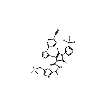 Cc1c(-c2ccnn2-c2ccc(C#N)cc2)n(C(=O)NC(C)c2ncc(C[N+](C)(C)C)o2)c(=O)n1-c1cccc(C(F)(F)F)c1